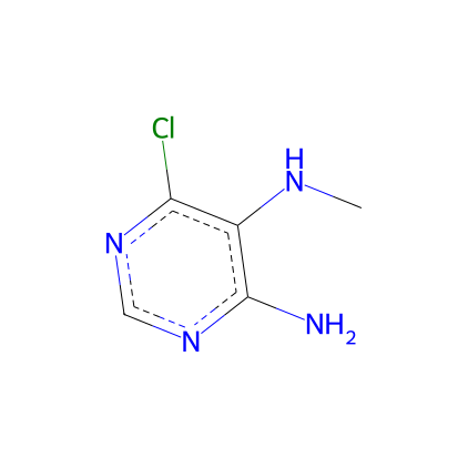 CNc1c(N)ncnc1Cl